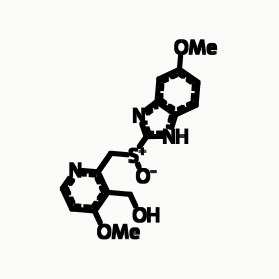 COc1ccc2[nH]c([S+]([O-])Cc3nccc(OC)c3CO)nc2c1